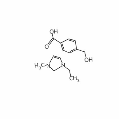 CCN1C=CN(C)C1.O=C(O)c1ccc(CO)cc1